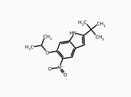 CC(C)Oc1cc2[nH]c(C(C)(C)C)cc2cc1[N+](=O)[O-]